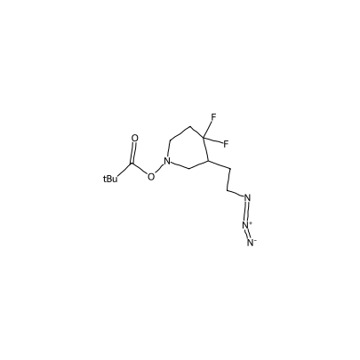 CC(C)(C)C(=O)ON1CCC(F)(F)C(CCN=[N+]=[N-])C1